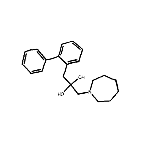 OC(O)(Cc1ccccc1-c1ccccc1)CN1CCCCCC1